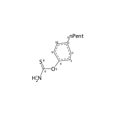 CCCCCc1ccc(OC(N)=S)cc1